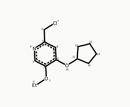 CCOc1cnc(CCl)cc1OC1CCCC1